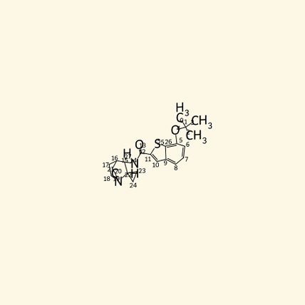 CC(C)(C)Oc1cccc2cc(C(=O)N[C@@H]3C4CCN(CC4)C34CC4)sc12